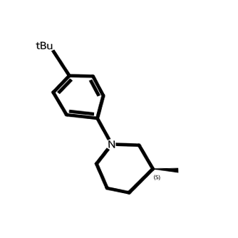 C[C@H]1CCCN(c2ccc(C(C)(C)C)cc2)C1